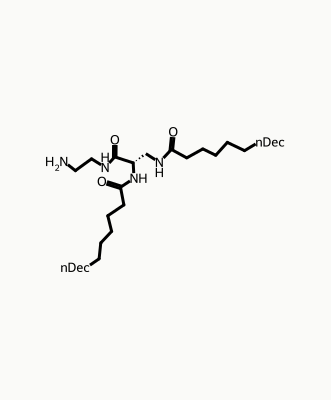 CCCCCCCCCCCCCCCC(=O)NC[C@H](NC(=O)CCCCCCCCCCCCCCC)C(=O)NCCN